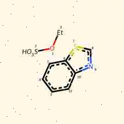 CCOS(=O)(=O)O.c1ccc2scnc2c1